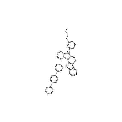 CCCCc1cccc(-n2c3ccccc3c3c2ccc2c4ccccc4n(-c4cccc(-c5ccc(-c6ccccc6)cc5)c4)c23)c1